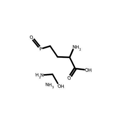 N.NC(CCP=O)C(=O)O.NCO